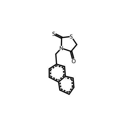 O=C1CSC(=S)N1Cc1ccc2ccccc2c1